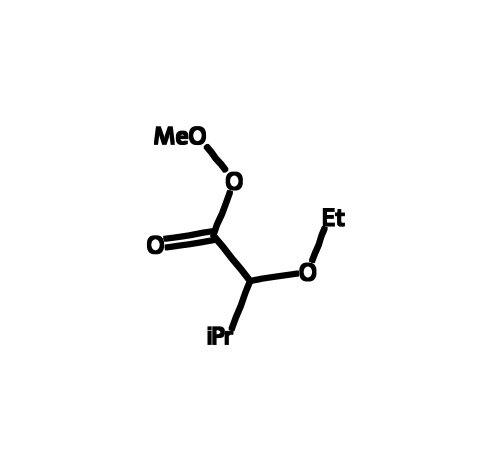 CCOC(C(=O)OOC)C(C)C